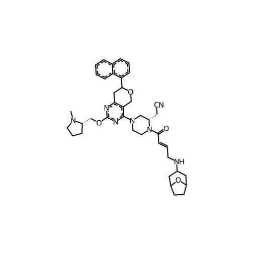 CN1CCC[C@H]1COc1nc2c(c(N3CCN(C(=O)/C=C/CNC4CC5CCC(C4)O5)[C@@H](CC#N)C3)n1)COC(c1cccc3ccccc13)C2